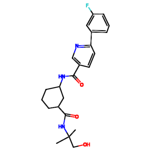 CC(C)(CO)NC(=O)C1CCCC(NC(=O)c2ccc(-c3cccc(F)c3)nc2)C1